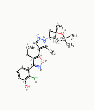 COCc1c(-c2cccc(O)c2Cl)noc1-c1cnn([C@H]2C[C@@](C)(O[Si](C)(C)C(C)(C)C)C2)c1C(F)(F)F